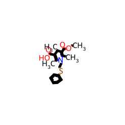 CCOC(=O)C1=C(C)N(CCSc2ccccc2)C(C)=C(C(=O)O)C1C